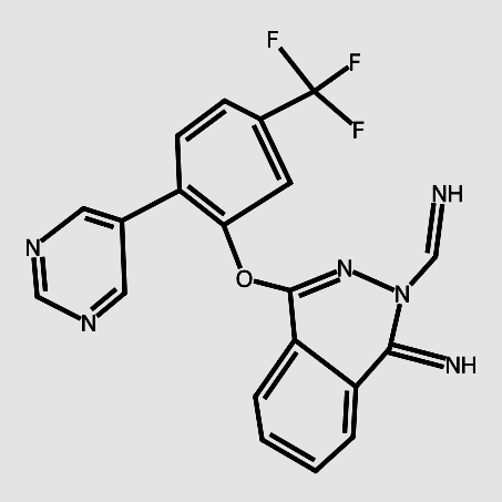 N=Cn1nc(Oc2cc(C(F)(F)F)ccc2-c2cncnc2)c2ccccc2c1=N